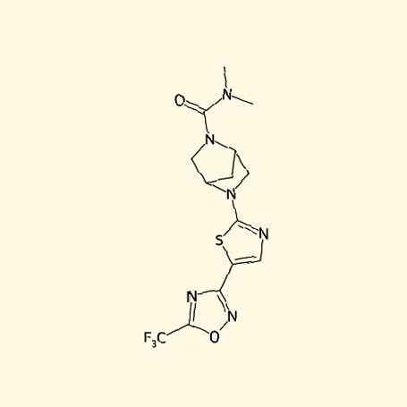 CN(C)C(=O)N1CC2CC1CN2c1ncc(-c2noc(C(F)(F)F)n2)s1